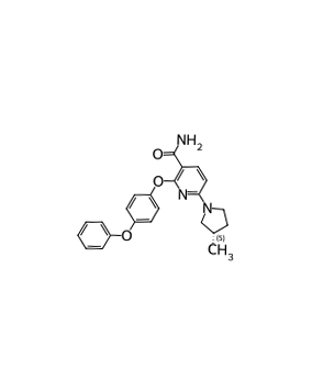 C[C@H]1CCN(c2ccc(C(N)=O)c(Oc3ccc(Oc4ccccc4)cc3)n2)C1